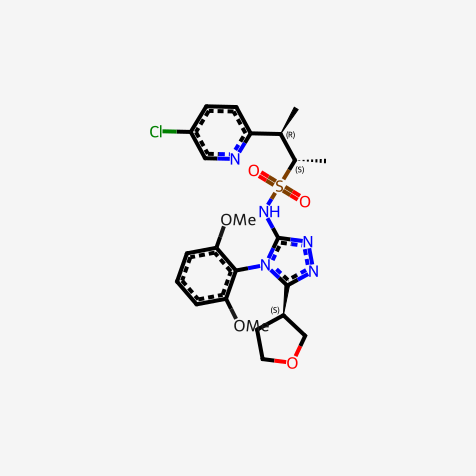 COc1cccc(OC)c1-n1c(NS(=O)(=O)[C@@H](C)[C@H](C)c2ccc(Cl)cn2)nnc1[C@@H]1CCOC1